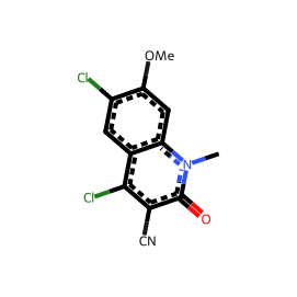 COc1cc2c(cc1Cl)c(Cl)c(C#N)c(=O)n2C